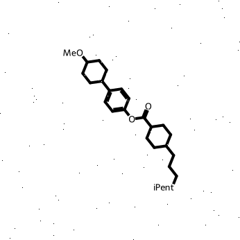 CCCC(C)CCCC1CCC(C(=O)Oc2ccc(C3CCC(OC)CC3)cc2)CC1